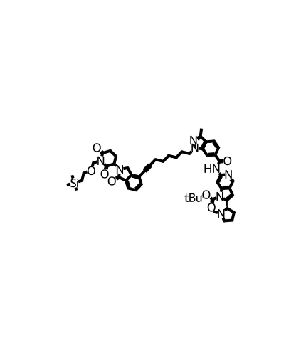 Cc1nn(CCCCCCC#Cc2cccc3c2CN(C2CCC(=O)N(COCC[Si](C)(C)C)C2=O)C3=O)c2cc(C(=O)Nc3cc4c(cn3)cc([C@H]3CCCN3C)n4C(=O)OC(C)(C)C)ccc12